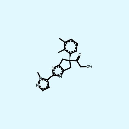 Cc1cccc([C@@]2(C(=O)CO)Cc3nc(-c4ccnn4C)sc3C2)c1C